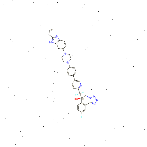 CC(C)Cc1nc2ccc(N3CCN(c4ccc(-c5ccc(C(F)(F)[C@]6(O)Cn7nnnc7-c7cc(F)ccc76)nc5)cc4)CC3)cc2[nH]1